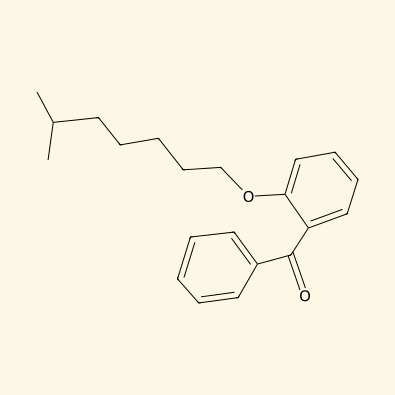 CC(C)CCCCCOc1ccccc1C(=O)c1ccccc1